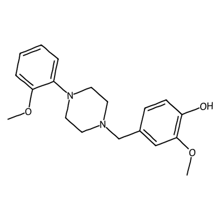 COc1cc(CN2CCN(c3ccccc3OC)CC2)ccc1O